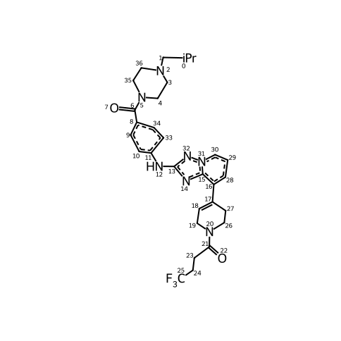 CC(C)CN1CCN(C(=O)c2ccc(Nc3nc4c(C5=CCN(C(=O)CCC(F)(F)F)CC5)cccn4n3)cc2)CC1